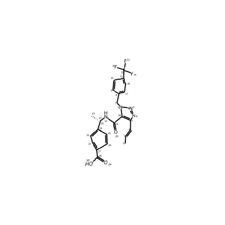 CC=Cc1nnn(Cc2ccc(C(F)(F)F)cc2)c1C(=O)N[C@@H](C)c1ccc(C(=O)O)cc1